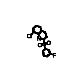 O=S(=O)(c1cccc(F)c1)c1ccc2cccc(Cl)c2n1